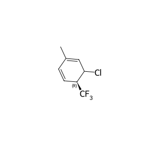 CC1=CC(Cl)[C@@H](C(F)(F)F)C=C1